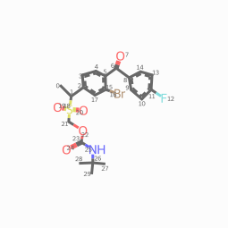 CC(c1ccc(C(=O)c2ccc(F)cc2)c(Br)c1)S(=O)(=O)COC(=O)NC(C)(C)C